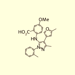 COc1ccc(Nc2c(-c3coc(C)c3)c(C)nn2-c2ccccc2C)c(C(=O)O)c1